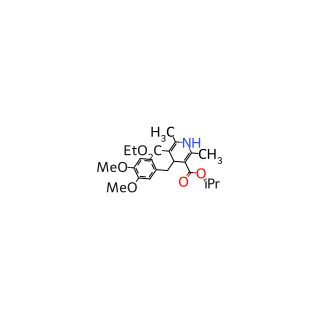 CCOC(=O)C1=C(C)NC(C)=C(C(=O)OC(C)C)C1Cc1ccc(OC)c(OC)c1